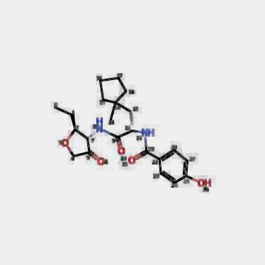 CC[C@@H]1OCC(=O)[C@H]1NC(=O)[C@H](CC1(C)CCCC1)NC(=O)c1ccc(O)cc1